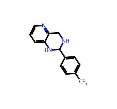 FC(F)(F)c1ccc(C2NCc3ncccc3N2)cc1